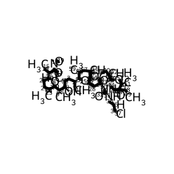 CCC(C[C@@H](C)[C@@H](O)[C@H](C)[C@@H]1O[C@@H](C(CC)C(=O)N=O)CC[C@@H]1C)[C@H]1O[C@]2(C=CC(NC(=O)NCCCCl)[C@]3(CC[C@@](C)([C@H]4CC[C@](O)(CC)[C@H](C)O4)O3)O2)[C@H](C)C[C@@H]1C